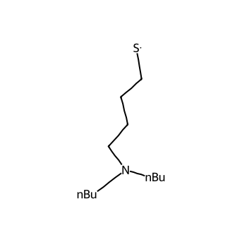 CCCCN(CCCC)CCCC[S]